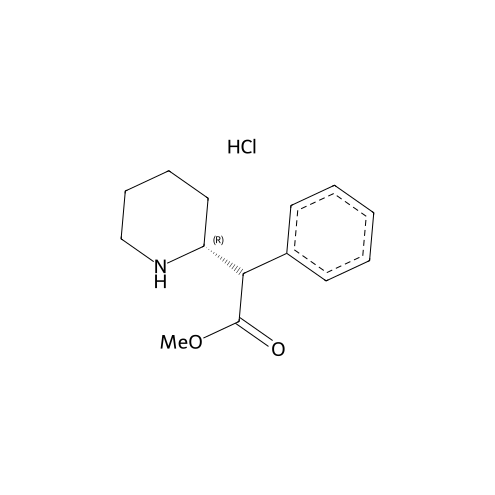 COC(=O)C(c1ccccc1)[C@H]1CCCCN1.Cl